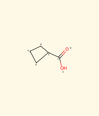 O=C(O)[C]1C[CH]C1